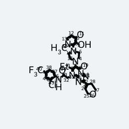 CCc1c(N2CCN(c3c(O)c(=O)ccn3C)CC2)c(=O)n2nc(C3=CCOCC3)nc2n1CC(=O)Nc1ccc(C(F)(F)F)cc1Cl